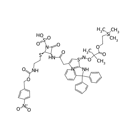 CC(C)(ON=S1C=C(CC(=O)N[C@@H]2C(=O)N(S(=O)(=O)O)[C@@H]2SCCNC(=O)OCc2ccc([N+](=O)[O-])cc2)N=C1NC(c1ccccc1)(c1ccccc1)c1ccccc1)C(=O)OCC[Si](C)(C)C